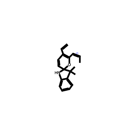 C=CC1=C(/C=C\C)OC2(C=C1)Nc1ccccc1C2(C)C